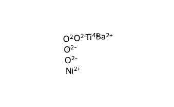 [Ba+2].[Ni+2].[O-2].[O-2].[O-2].[O-2].[Ti+4]